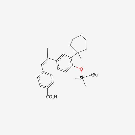 CC(=Cc1ccc(C(=O)O)cc1)c1ccc(O[Si](C)(C)C(C)(C)C)c(C2(C)CCCCC2)c1